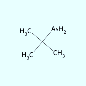 CC(C)(C)[AsH2]